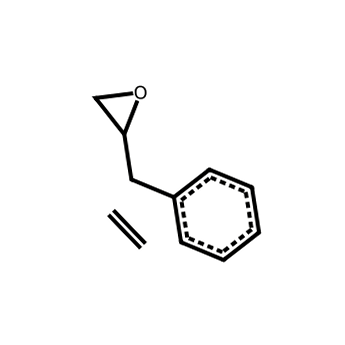 C=C.c1ccc(CC2CO2)cc1